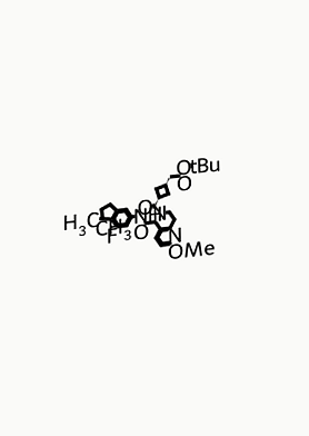 COc1ccc2c(n1)CCN(C(=O)[C@H]1C[C@@H](CC(=O)OC(C)(C)C)C1)C2C(=O)Nc1cc(F)c2c(c1)CCC2(C)C